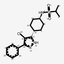 CC(C)S(=O)(=O)N[C@H]1CC[C@H](c2[nH]nc(-c3ccccc3)c2Cl)CC1